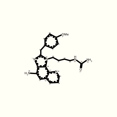 COc1ccc(Cc2nc3c(N)cc4cccnc4c3n2CCCCNC(N)=O)cc1